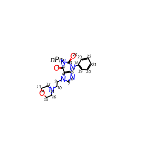 CCCn1c(=O)c2c(ncn2CCN2CCOCC2)n(-c2ccccc2)c1=O